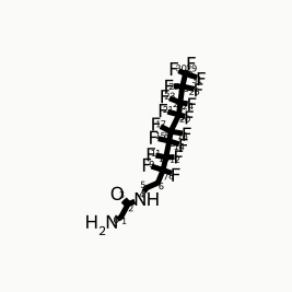 NCC(=O)NCCC(F)(F)C(F)(F)C(F)(F)C(F)(F)C(F)(F)C(F)(F)C(F)(F)C(F)(F)F